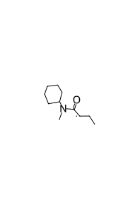 CC[CH]C(=O)N(C)C1CCCCC1